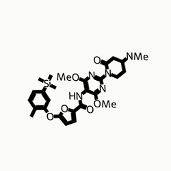 CNC1CCN(c2nc(OC)c(NC(=O)c3ccc(Oc4cc([Si](C)(C)C)ccc4C)o3)c(OC)n2)C(=O)C1